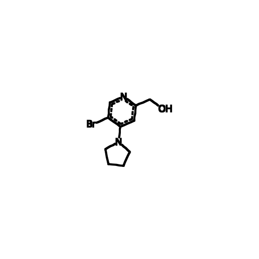 OCc1cc(N2CCCC2)c(Br)cn1